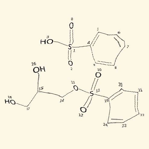 O=S(=O)(O)c1ccccc1.O=S(=O)(OCC(O)CO)c1ccccc1